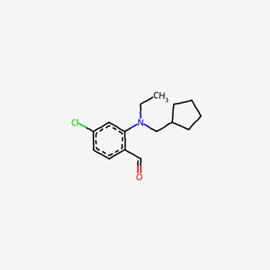 CCN(CC1CCCC1)c1cc(Cl)ccc1C=O